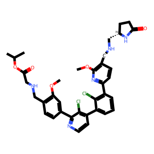 COc1cc(-c2nccc(-c3cccc(-c4ccc(CNC[C@@H]5CCC(=O)N5)c(OC)n4)c3Cl)c2Cl)ccc1CNCC(=O)OC(C)C